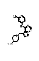 NC1CCN(Cc2ccn3ncnc(Nc4ccnc(Cl)c4)c23)CC1